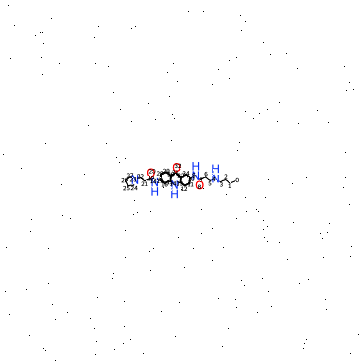 CCCCNCCC(=O)Nc1ccc2[nH]c3cc(NC(=O)CCN4CCCC4)ccc3c(=O)c2c1